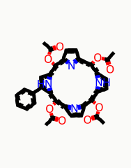 CC(=O)Oc1c2nc(c(OC(C)=O)c3cc(-c4ccccc4)c([nH]3)c(OC(C)=O)c3nc(c(OC(C)=O)c4ccc1[nH]4)C=C3)C=C2